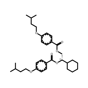 CC(C)CCOc1ccc(C(=O)OC[C@@H](OC(=O)c2ccc(OCCC(C)C)cc2)C2CCCCC2)cc1